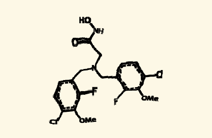 COc1c(Cl)ccc(CN(CC(=O)NO)Cc2ccc(Cl)c(OC)c2F)c1F